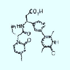 Cc1ccn([C@H](CC(C)C)C(=O)N[C@@H](CC(=O)O)c2csc(-c3cc(C)c(=O)[nH]c3C)c2)c(=O)c1